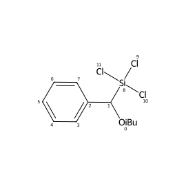 CC(C)COC(c1ccccc1)[Si](Cl)(Cl)Cl